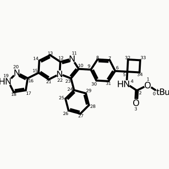 CC(C)(C)OC(=O)NC1(c2ccc(-c3nc4ccc(-c5cc[nH]n5)cn4c3-c3ccccc3)cc2)CCC1